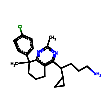 Cc1nc(C(CCCN)C2CC2)c2c(n1)C(C)(c1ccc(Cl)cc1)CCC2